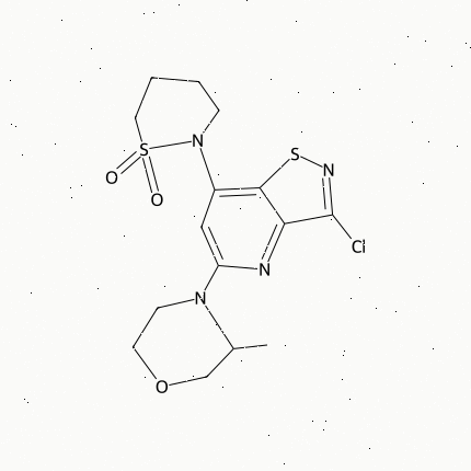 CC1COCCN1c1cc(N2CCCCS2(=O)=O)c2snc(Cl)c2n1